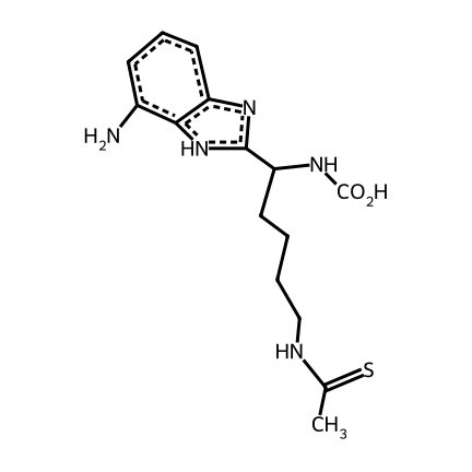 CC(=S)NCCCCC(NC(=O)O)c1nc2cccc(N)c2[nH]1